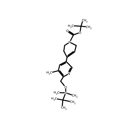 Cc1cc(C2=CCN(C(=O)OC(C)(C)C)CC2)cnc1CO[Si](C)(C)C(C)(C)C